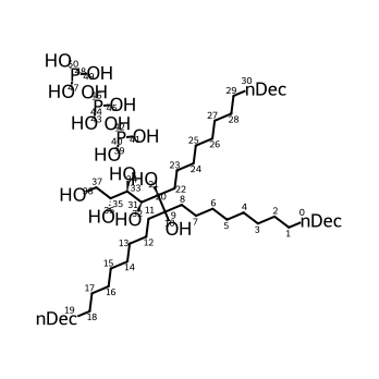 CCCCCCCCCCCCCCCCCCC(O)(CCCCCCCCCCCCCCCCCC)[C@@](O)(CCCCCCCCCCCCCCCCCC)[C@@H](O)[C@H](O)[C@H](O)CO.OP(O)O.OP(O)O.OP(O)O